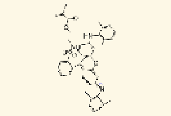 C=C(C)C(=O)OCCNS(=O)(=O)c1ccccc1-c1c2cc/c(=N\c3c(C)cccc3C)cc-2oc2cc(Nc3c(C)cccc3C)ccc12